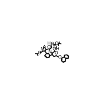 CC(C)OCc1nn(C)c(CO)c1-c1cccc2c(CCCOc3cccc4ccccc34)c(C(=O)O)n(CCCN(C)C(=O)OC(C)(C)C)c12